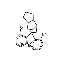 Brc1cccc(Br)c1C1(c2c(Br)cccc2Br)CC2CC1C1CCCC21